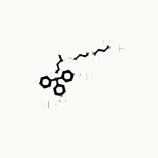 CCC(CCOC(c1ccccc1)(c1ccc(OC)cc1)c1ccc(OC)cc1)SSCCCOC(=O)CCC(=O)O